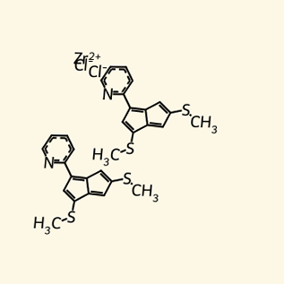 CSC1=CC2=C(c3ccccn3)C=C(SC)C2=C1.CSC1=CC2=C(c3ccccn3)C=C(SC)C2=C1.[Cl-].[Cl-].[Zr+2]